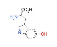 N[C@H](CC1C=Nc2ccc(O)cc21)C(=O)O